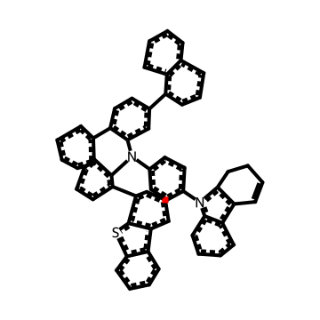 C1=Cc2c(n(-c3ccc(N(c4cc(-c5cccc6ccccc56)ccc4-c4ccccc4)c4ccccc4-c4cccc5c4sc4ccccc45)cc3)c3ccccc23)CC1